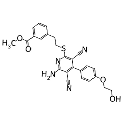 COC(=O)c1cccc(CCSc2nc(N)c(C#N)c(-c3ccc(OCCO)cc3)c2C#N)c1